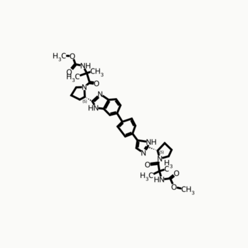 COC(=O)NC(C)(C)C(=O)N1CCC[C@H]1c1ncc(-c2ccc(-c3ccc4nc([C@@H]5CCCN5C(=O)C(C)(C)NC(=O)OC)[nH]c4c3)cc2)[nH]1